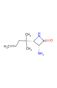 C=CCC(C)(C)[C@@H]1NC(=O)[C@@H]1N